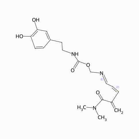 C=C(/C=C\C=N\COC(=O)NCCc1ccc(O)c(O)c1)C(=O)N(C)C